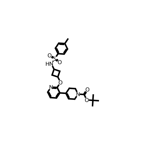 Cc1ccc(S(=O)(=O)NC2CC(Oc3ncccc3C3=CCN(C(=O)OC(C)(C)C)CC3)C2)cc1